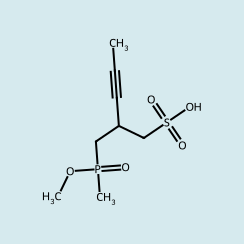 CC#CC(CP(C)(=O)OC)CS(=O)(=O)O